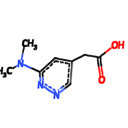 CN(C)c1cc(CC(=O)O)cnn1